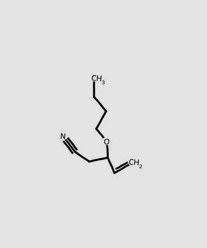 C=CC(CC#N)OCCCC